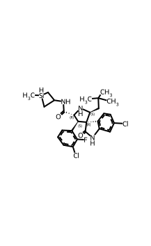 C[SiH]1CC(NC(=O)[C@@H]2N[C@@H](CC(C)(C)C)[C@@]3(C(=O)Nc4cc(Cl)ccc43)[C@H]2c2cccc(Cl)c2F)C1